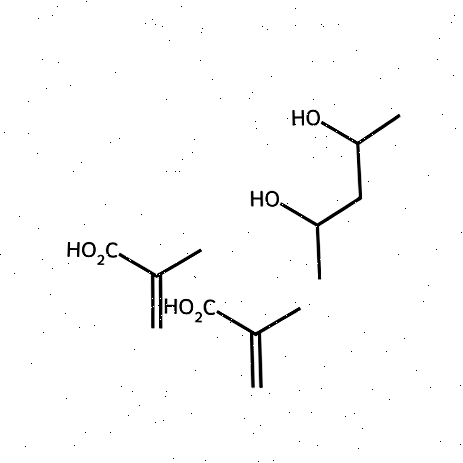 C=C(C)C(=O)O.C=C(C)C(=O)O.CC(O)CC(C)O